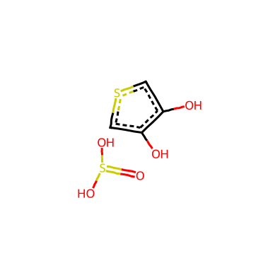 O=S(O)O.Oc1cscc1O